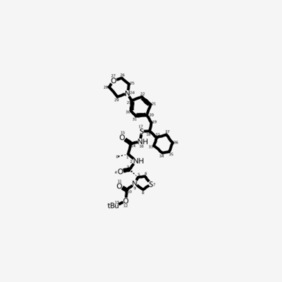 C[C@@H](NC(=O)[C@@H]1CSCN1C(=O)OC(C)(C)C)C(=O)NSC(Cc1ccc(N2CCOCC2)cc1)C1CCCCC1